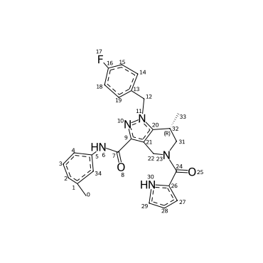 Cc1cccc(NC(=O)c2nn(Cc3ccc(F)cc3)c3c2CN(C(=O)c2ccc[nH]2)C[C@H]3C)c1